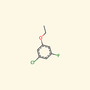 CCOc1cc(F)cc(Cl)c1